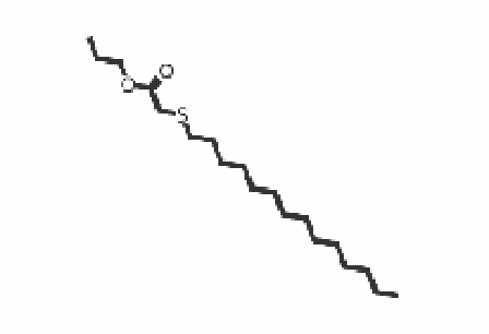 CCCCCCCCCCCCCCSCC(=O)OCCC